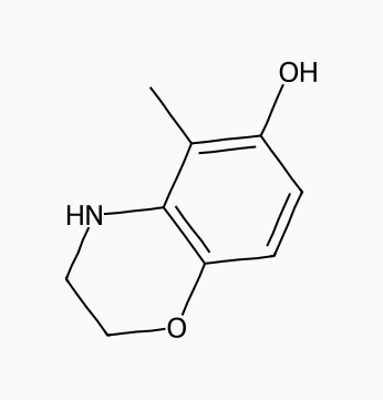 Cc1c(O)ccc2c1NCCO2